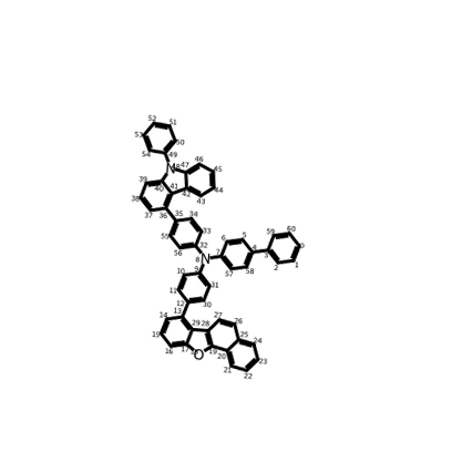 c1ccc(-c2ccc(N(c3ccc(-c4cccc5oc6c7ccccc7ccc6c45)cc3)c3ccc(-c4cccc5c4c4ccccc4n5-c4ccccc4)cc3)cc2)cc1